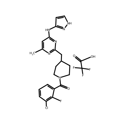 Cc1cc(Nc2cc[nH]n2)nc(CC2CCN(C(=O)c3cccc(Cl)c3F)CC2)n1.O=C(O)C(F)(F)F